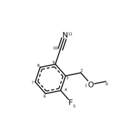 COCc1c(F)cccc1C#N